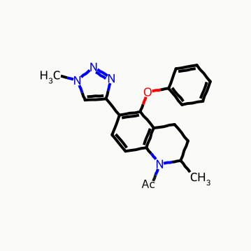 CC(=O)N1c2ccc(-c3cn(C)nn3)c(Oc3ccccc3)c2CCC1C